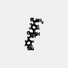 CC(C)(C)c1ccc(CNC(=O)N(S)c2ccc(C(N)=O)cc2)cc1